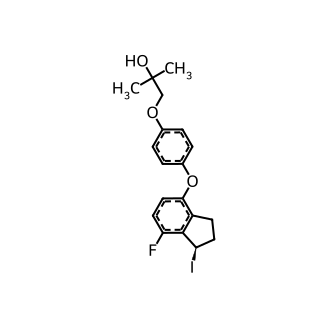 CC(C)(O)COc1ccc(Oc2ccc(F)c3c2CC[C@H]3I)cc1